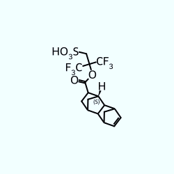 O=C(OC(CS(=O)(=O)O)(C(F)(F)F)C(F)(F)F)C1CC2C[C@H]1C1C3C=CC(C3)C21